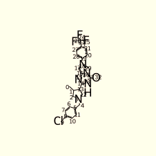 CC1CN(Cc2ccc(Cl)cc2)CC1C1=NC2=CN(c3ccc(C(F)(F)F)cc3)CN2C(=O)N1